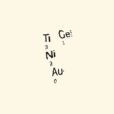 [Au].[Ge].[Ni].[Ti]